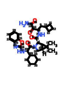 CC1(C)C2[C@@H](C(=O)NC(CC3CCC3)C(=O)C(N)=O)N(C(=O)[C@@H](Nc3nc4ccccc4o3)C3CCCCC3)C[C@@H]21